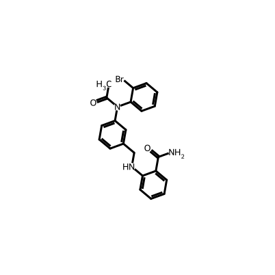 CC(=O)N(c1cccc(CNc2ccccc2C(N)=O)c1)c1ccccc1Br